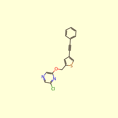 Clc1cncc(OCc2cc(C#Cc3ccccc3)cs2)n1